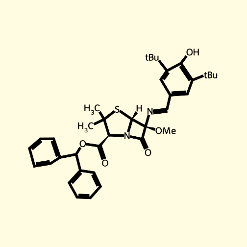 CO[C@@]1(/N=C/c2cc(C(C)(C)C)c(O)c(C(C)(C)C)c2)C(=O)N2[C@@H](C(=O)OC(c3ccccc3)c3ccccc3)C(C)(C)S[C@@H]21